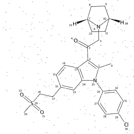 Cc1c(C(=O)CN2[C@H]3CC[C@@H]2CC3)c2ccc(CCS(C)(=O)=O)cc2n1-c1ccc(Cl)cc1